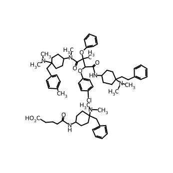 CN(C)C1(Cc2ccccc2)CCC(NC(=O)CCCC(=O)O)CC1.Cc1ccc(CC2(N(C)C)CCC(N(C)C(=O)C(C)(Oc3ccccc3)C(Oc3ccc(Cl)cc3)C(=O)NC3CCC(CCc4ccccc4)(N(C)C)CC3)CC2)cc1